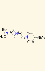 CCN(C)C1CN(CCN2CCC(NC)CC2)C1